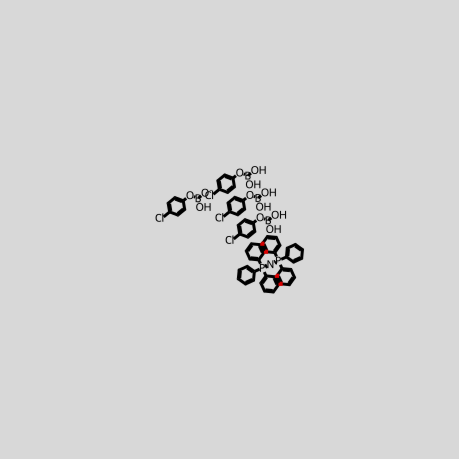 OB(O)Oc1ccc(Cl)cc1.OB(O)Oc1ccc(Cl)cc1.OB(O)Oc1ccc(Cl)cc1.[O-]B(O)Oc1ccc(Cl)cc1.c1ccc(P(=[N+]=P(c2ccccc2)(c2ccccc2)c2ccccc2)(c2ccccc2)c2ccccc2)cc1